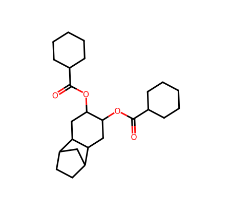 O=C(OC1CC2C3CCC(C3)C2CC1OC(=O)C1CCCCC1)C1CCCCC1